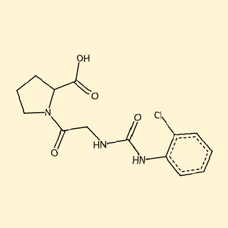 O=C(NCC(=O)N1CCCC1C(=O)O)Nc1ccccc1Cl